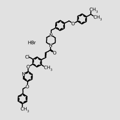 Br.Cc1ccc(COc2ccc(Oc3cc(C)c(C=CC(=O)N4CCN(Cc5ccc(COc6ccc(C(C)C)cc6)cc5)CC4)cc3Cl)nc2)cc1